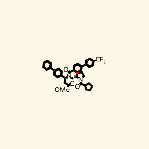 COC(=O)CC(c1ccc(-c2ccccc2)cc1)N(C[C@@H]1CCCN1C(=O)C1CCCC1)C(=O)c1ccc(-c2ccc(C(F)(F)F)cc2)cc1